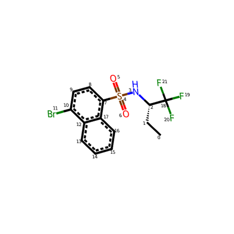 CC[C@H](NS(=O)(=O)c1ccc(Br)c2ccccc12)C(F)(F)F